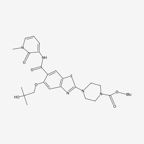 Cn1cccc(NC(=O)c2cc3sc(N4CCN(C(=O)OC(C)(C)C)CC4)nc3cc2OCC(C)(C)O)c1=O